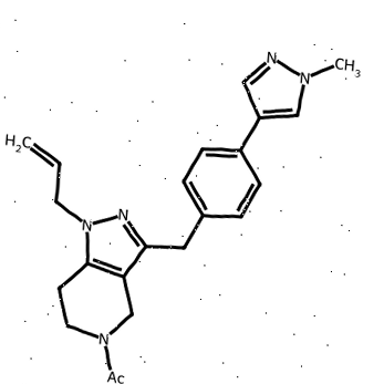 C=CCn1nc(Cc2ccc(-c3cnn(C)c3)cc2)c2c1CCN(C(C)=O)C2